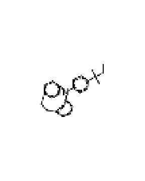 CCC(C)(C)c1ccc(N2c3ccc(cc3)CCc3cccc2c3)cc1